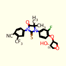 CC1(C)C(=O)N(c2ccc(C#N)c(C(F)(F)F)c2)C(=S)N1c1ccc(OC2COC[C@@H]2O)c(F)c1